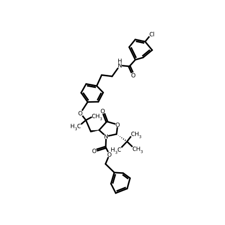 CC(C)(C[C@H]1C(=O)O[C@H](C(C)(C)C)N1C(=O)OCc1ccccc1)Oc1ccc(CCNC(=O)c2ccc(Cl)cc2)cc1